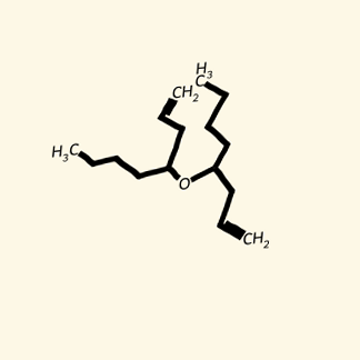 C=CCC(CCCC)OC(CC=C)CCCC